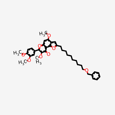 COc1ccc(-c2oc3cc(OC)c4cc(CCCCCCCCCCOCc5ccccc5)oc4c3c(=O)c2OC)cc1OC